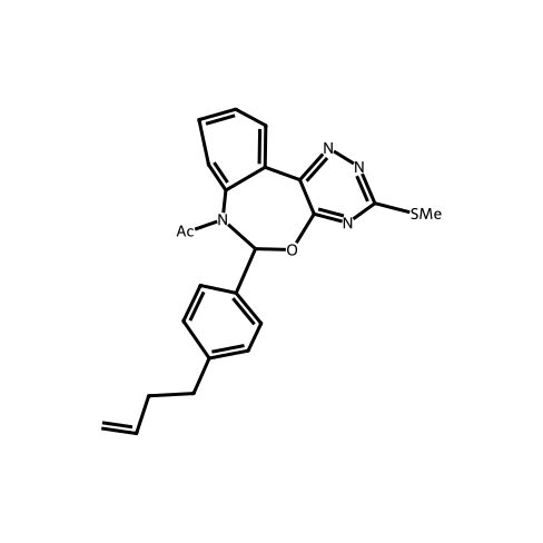 C=CCCc1ccc(C2Oc3nc(SC)nnc3-c3ccccc3N2C(C)=O)cc1